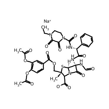 CCN1CCN(C(=O)N[C@@H](C(=O)N[C@]2(NC=O)C(=O)N3C(C(=O)[O-])[C@](C)(COC(=O)c4ccc(OC(C)=O)c(OC(C)=O)c4)S[C@H]32)c2ccccc2)C(=O)C1=O.[Na+]